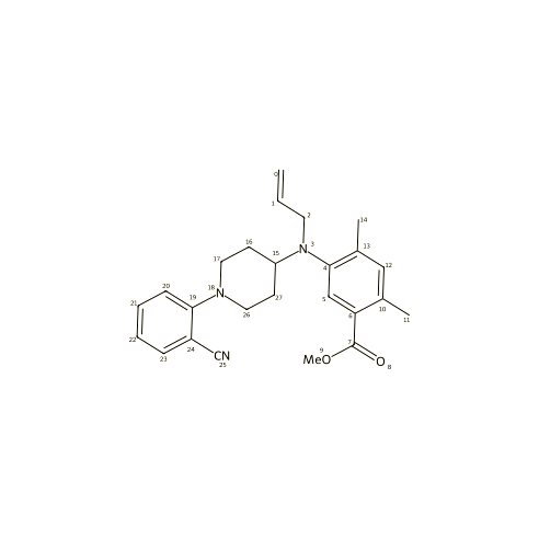 C=CCN(c1cc(C(=O)OC)c(C)cc1C)C1CCN(c2ccccc2C#N)CC1